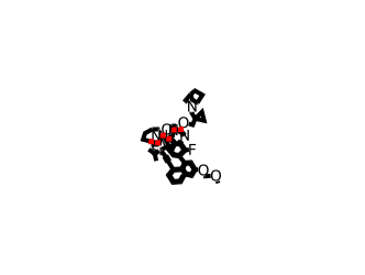 COCOc1cc(-c2ccc3c(N4CC5CCC(C4)N5C(=O)OC(C)(C)C)nc(OCC4(CN5CC6CCC5C6)CC4)nc3c2F)c2c(C#C[Si](C(C)C)(C(C)C)C(C)C)cccc2c1